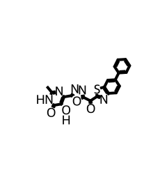 Cc1nc(-c2nnc(C(=O)c3nc4ccc(-c5ccccc5)cc4s3)o2)c(O)c(=O)[nH]1